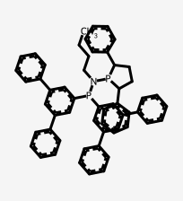 CCCCN(P(c1cc(-c2ccccc2)cc(-c2ccccc2)c1)c1cc(-c2ccccc2)cc(-c2ccccc2)c1)P1C(c2ccccc2)CCC1c1ccccc1